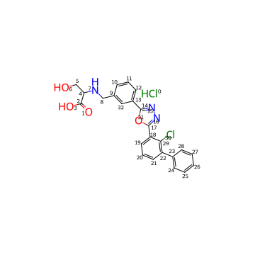 Cl.O=C(O)C(CO)NCc1cccc(-c2nnc(-c3cccc(-c4ccccc4)c3Cl)o2)c1